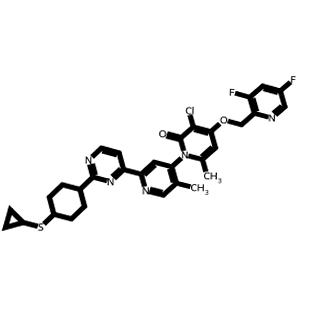 Cc1cnc(-c2ccnc(C3CCC(SC4CC4)CC3)n2)cc1-n1c(C)cc(OCc2ncc(F)cc2F)c(Cl)c1=O